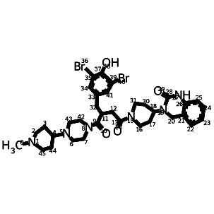 CN1CCC(N2CCN(C(=O)C(CC(=O)N3CCC(N4Cc5ccccc5NC4=O)CC3)Cc3cc(Br)c(O)c(Br)c3)CC2)CC1